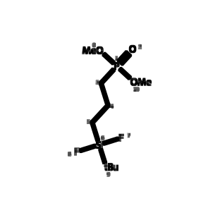 COP(=O)(CCC[Si](F)(F)C(C)(C)C)OC